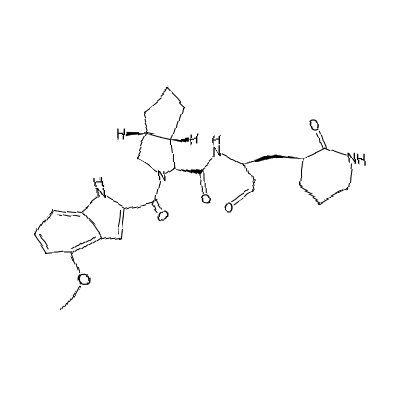 COc1cccc2[nH]c(C(=O)N3C[C@@H]4CCC[C@@H]4[C@H]3C(=O)N[C@H](C=O)C[C@@H]3CCCNC3=O)cc12